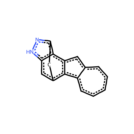 c1ccc2cc3c(c4cc5[nH]nc(c53)C4)c-2cc1